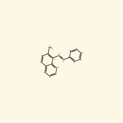 Nc1ccc2cccnc2c1N=Nc1ccccc1